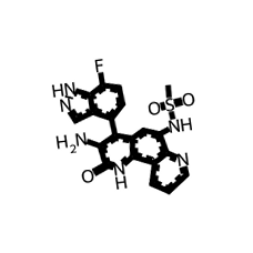 CS(=O)(=O)Nc1cc2c(-c3ccc(F)c4[nH]ncc34)c(N)c(=O)[nH]c2c2cccnc12